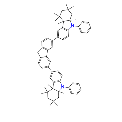 CC1(C)CC(C)(C)C2(C)c3cc(-c4ccc5c(c4)-c4cc(-c6ccc7c(c6)C6(C)C(C)(C)CC(C)(C)CC6(C)N7c6ccccc6)ccc4C5)ccc3N(c3ccccc3)C2(C)C1